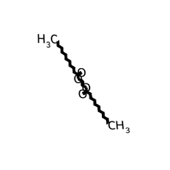 CCCCCCCCCCCC(=O)OC=COC(=O)CCCCCCCCCCC